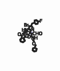 O=C/C(C(=O)NCCOCc1ccccc1)=C(/O)c1ncc(Cc2ccc(F)cc2)c(Br)c1NCCN1C(=O)c2ccccc2C1=O